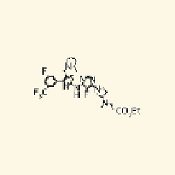 CCOC(=O)CCN(C)C1CCN(c2ncnc(Nc3nc(-c4cc(F)cc(C(F)(F)F)c4)c(CN4CCC[C@H]4C)s3)c2F)C1